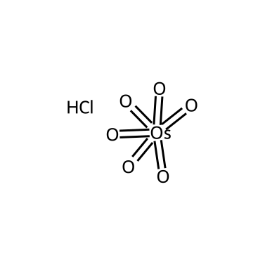 Cl.[O]=[Os](=[O])(=[O])(=[O])(=[O])=[O]